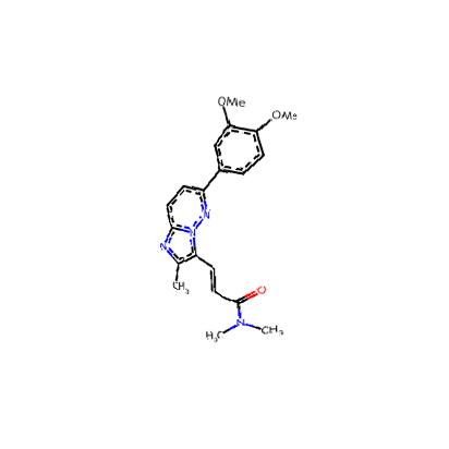 COc1ccc(-c2ccc3nc(C)c(C=CC(=O)N(C)C)n3n2)cc1OC